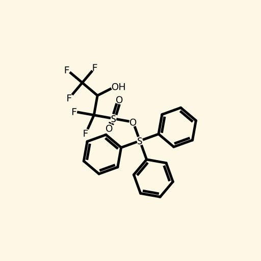 O=S(=O)(OS(c1ccccc1)(c1ccccc1)c1ccccc1)C(F)(F)C(O)C(F)(F)F